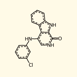 O=c1[nH]cc(Nc2cccc(Cl)c2)c2c1[nH]c1ccccc12